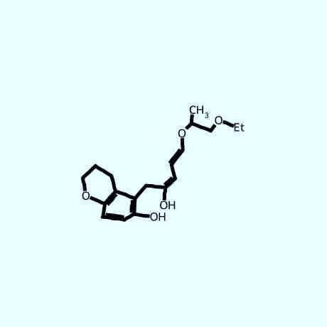 CCOCC(C)O/C=C/C=C(/O)Cc1c(O)ccc2c1CCCO2